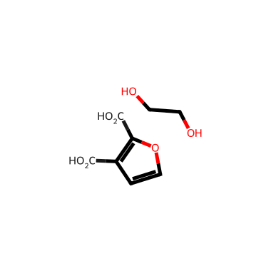 O=C(O)c1ccoc1C(=O)O.OCCO